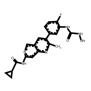 CCCNC(=O)Nc1cc(-c2cc3cnc(NC(=O)C4CC4)cc3nc2C)ccc1F